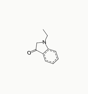 CCN1CC(=O)c2ccccc21